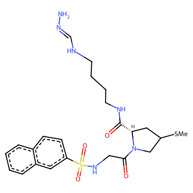 CSC1C[C@@H](C(=O)NCCCCNC=NN)N(C(=O)CNS(=O)(=O)c2ccc3ccccc3c2)C1